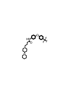 O=C(CCCN1CCC(N2CCCCC2)CC1)Nc1ccc(Oc2ccc(C(F)(F)F)cc2)cc1